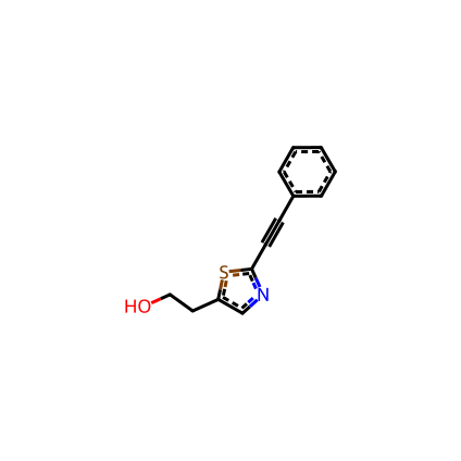 OCCc1cnc(C#Cc2ccccc2)s1